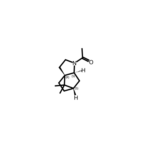 CC(=O)N1CC[C@@]23CC[C@@H](C[C@H]12)C3(C)C